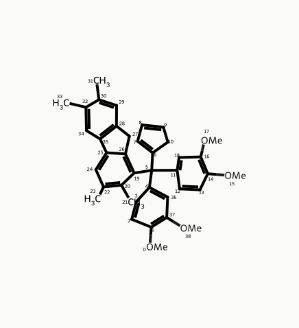 COc1ccc(C(C2=CC=CC2)(c2ccc(OC)c(OC)c2)c2c(C)c(C)cc3c2Cc2cc(C)c(C)cc2-3)cc1OC